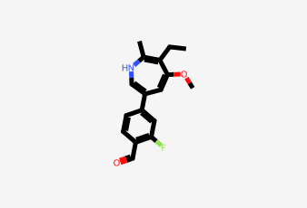 CCC1=C(C)NC=C(c2ccc(C=O)c(F)c2)C=C1OC